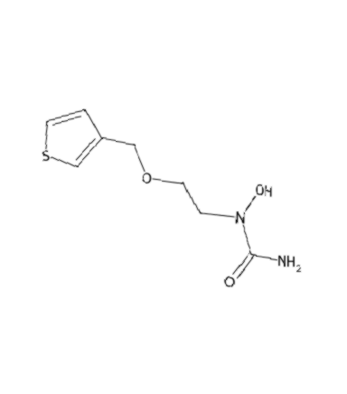 NC(=O)N(O)CCOCc1ccsc1